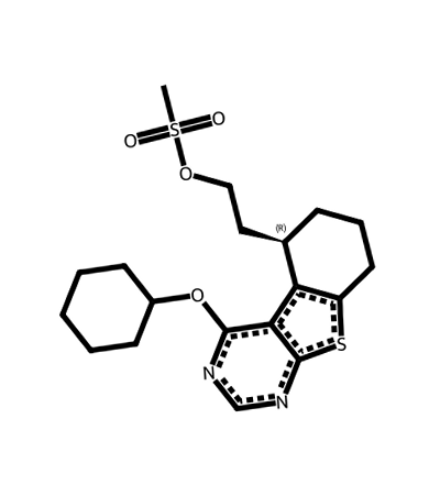 CS(=O)(=O)OCC[C@H]1CCCc2sc3ncnc(OC4CCCCC4)c3c21